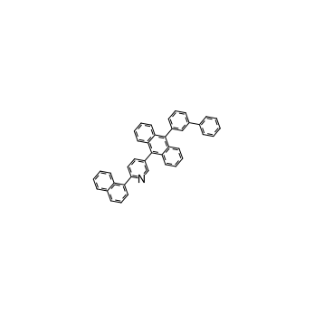 c1ccc(-c2cccc(-c3c4ccccc4c(-c4ccc(-c5cccc6ccccc56)nc4)c4ccccc34)c2)cc1